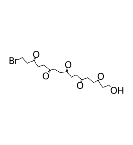 O=C(CCO)CCC(=O)CCC(=O)CCC(=O)CCC(=O)CCBr